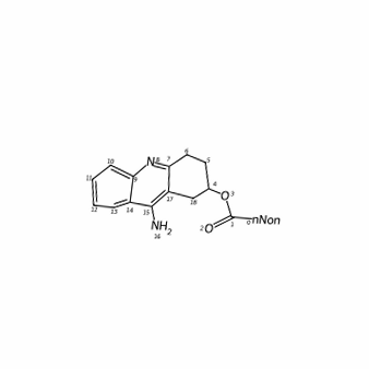 CCCCCCCCCC(=O)OC1CCc2nc3ccccc3c(N)c2C1